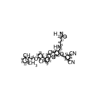 Cc1c(OCCCN2[C@H](C)CCC[C@@H]2C)cccc1-c1cccc2c1CC[C@@H]2Oc1cc(OCc2cc(C#N)cc(C#N)c2)c(CNCCCCC(N)=O)cc1Cl